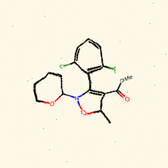 COC(=O)C1=C(c2c(F)cccc2Cl)N(C2CCCCO2)OC1C